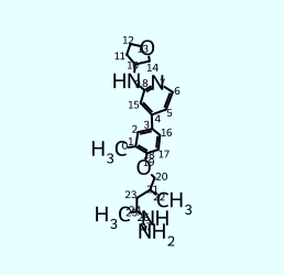 Cc1cc(-c2ccnc(NC3CCOC3)c2)ccc1OCC(C)CC(C)NN